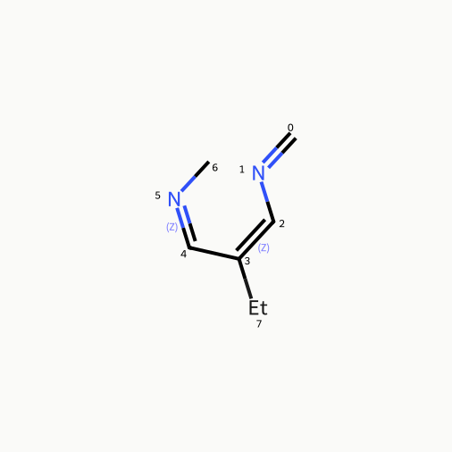 C=N/C=C(\C=N/C)CC